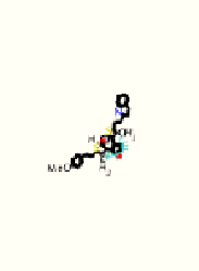 COc1ccc(C=Cc2sc(C)c(C3=C(c4c(C)sc(C=Cc5ccc6ccccc6n5)c4C)C(F)(F)C(F)(F)C3(F)F)c2C)cc1